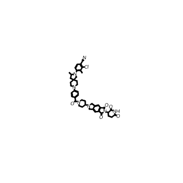 Cc1c(N2CC3(CCN(c4ccc(C(=O)N5CCC(N6Cc7cc8c(cc7C6)C(=O)N(C6CCC(=O)NC6=O)C8=O)CC5)cc4)CC3)CC2C)ccc(C#N)c1Cl